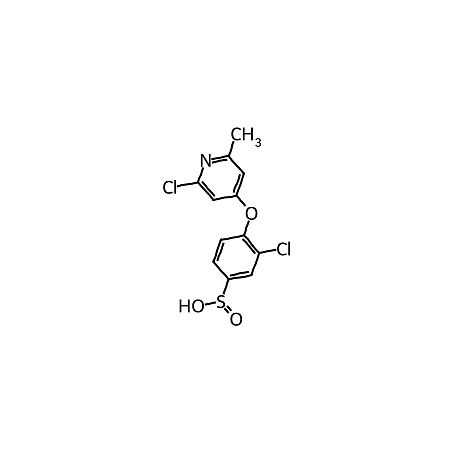 Cc1cc(Oc2ccc(S(=O)O)cc2Cl)cc(Cl)n1